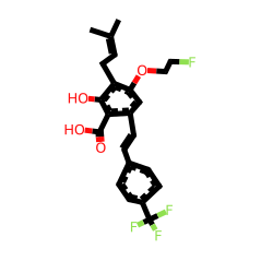 CC(C)=CCc1c(OCCF)cc(/C=C/c2ccc(C(F)(F)F)cc2)c(C(=O)O)c1O